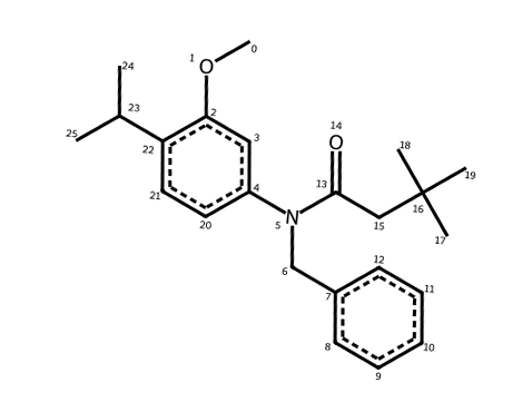 COc1cc(N(Cc2ccccc2)C(=O)CC(C)(C)C)ccc1C(C)C